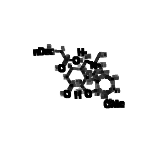 CCCCCCCCCCCC(=O)O[C@@]12CCC(=O)[C@@H]3Oc4c(OC)ccc5c4C31CCN(C)[C@@H]2C5